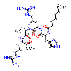 CCCCCCCCCCCCCCCC(=O)N[C@@H](Cc1c[nH]cn1)C(=O)N[C@@H](CCCNC(=N)N)C(=O)N[C@@H](CC(C)C)C(=O)N[C@@H](CCCNC(=N)N)C(=O)NC